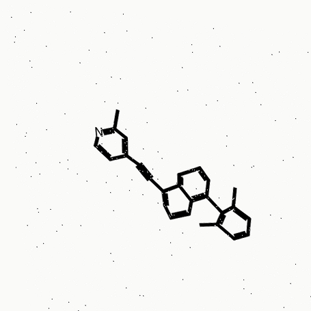 Cc1cc(C#Cc2cccc3c(-c4c(C)cccc4C)cccc23)ccn1